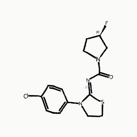 O=C(/N=C1\SCCN1c1ccc(Cl)cc1)N1CC[C@@H](F)C1